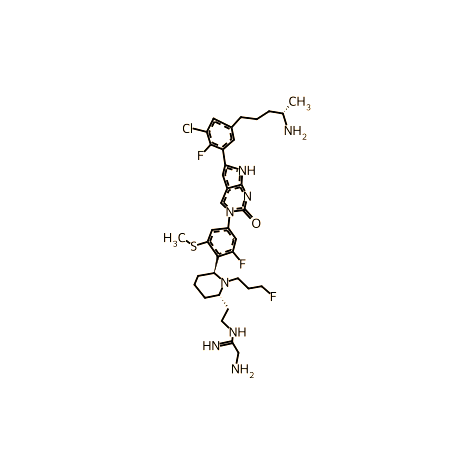 CSc1cc(-n2cc3cc(-c4cc(CCC[C@H](C)N)cc(Cl)c4F)[nH]c3nc2=O)cc(F)c1[C@@H]1CCC[C@@H](CCNC(=N)CN)N1CCCF